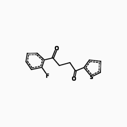 O=C(CCC(=O)c1ccccc1F)c1cccs1